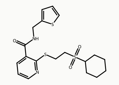 O=C(NCc1cccs1)c1cccnc1SCCS(=O)(=O)C1CCCCC1